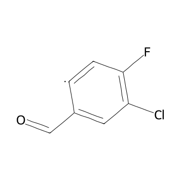 O=Cc1[c]cc(F)c(Cl)c1